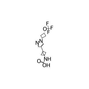 O=C(O)NC12CC(c3cnn([C@H]4C[C@@H](OC(F)(F)F)C4)c3)(C1)C2